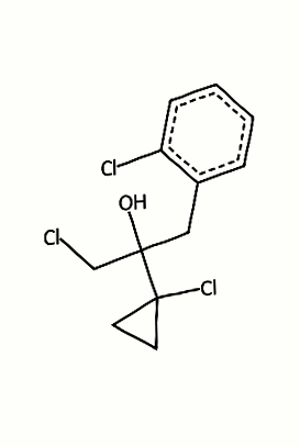 OC(CCl)(Cc1ccccc1Cl)C1(Cl)CC1